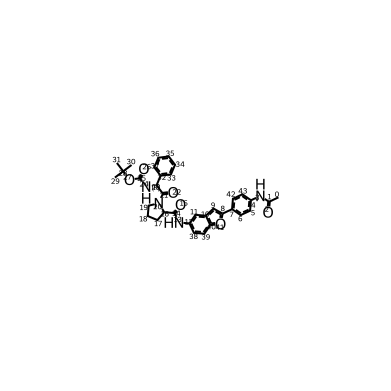 CC(=O)Nc1ccc(-c2cc3cc(NC(=O)C4CCCN4C(=O)[C@H](NC(=O)OC(C)(C)C)c4ccccc4)ccc3o2)cc1